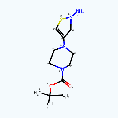 CC(C)(C)OC(=O)N1CCN(C2=CSN(N)C2)CC1